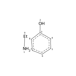 CCN.Oc1ccccc1